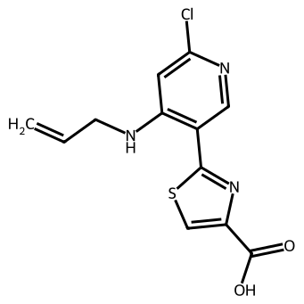 C=CCNc1cc(Cl)ncc1-c1nc(C(=O)O)cs1